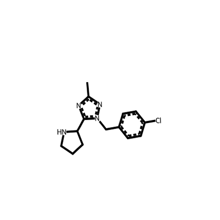 Cc1nc(C2CCCN2)n(Cc2ccc(Cl)cc2)n1